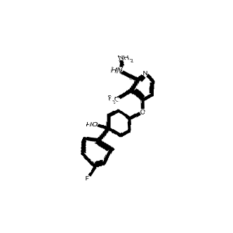 NNc1nccc(OC2CCC(O)(c3ccc(F)cc3)CC2)c1C(F)(F)F